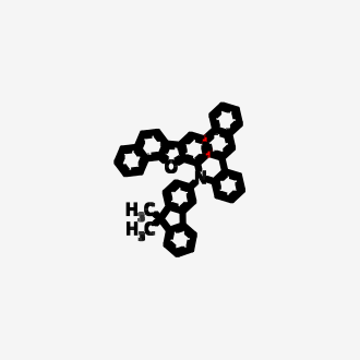 CC1(C)c2ccccc2-c2cc(N(c3ccccc3-c3ccc4ccccc4c3)c3cccc4c3oc3c5ccccc5ccc43)ccc21